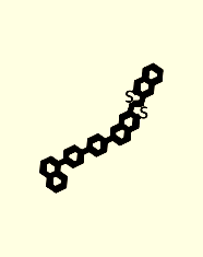 c1ccc2cc3c(cc2c1)sc1c2cc4cc(-c5ccc(-c6ccc(-c7cccc8ccccc78)cc6)cc5)ccc4cc2sc31